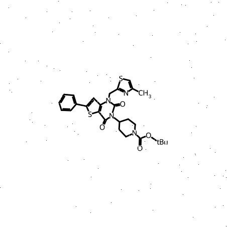 Cc1csc(Cn2c(=O)n(C3CCN(C(=O)OC(C)(C)C)CC3)c(=O)c3sc(-c4ccccc4)cc32)n1